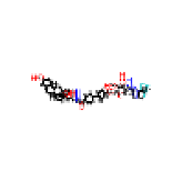 C[C@]12CC[C@@H]3c4ccc(O)cc4CC[C@H]3[C@@H]1CC[C@@]2(O)CCCNC(=O)c1ccc(-c2ccc(OC[C@H]3OC[C@H](Nc4cncc(C(F)(F)F)n4)[C@@H](O)[C@H]3O)cc2)cc1